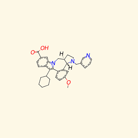 COc1ccc2c(c1)[C@@H]1[C@H](CCN1Cc1cccnc1)Cn1c-2c(C2CCCCC2)c2ccc(C(=O)O)cc21